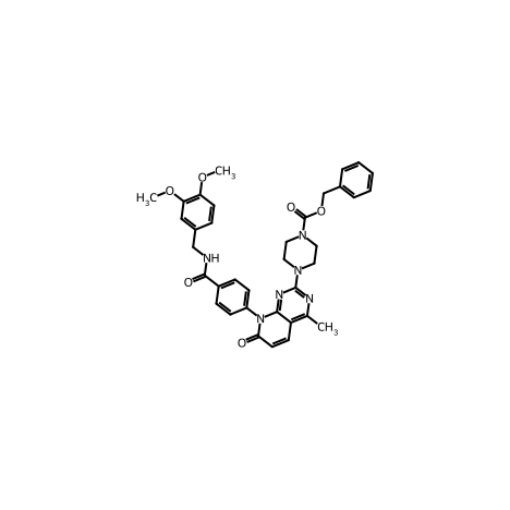 COc1ccc(CNC(=O)c2ccc(-n3c(=O)ccc4c(C)nc(N5CCN(C(=O)OCc6ccccc6)CC5)nc43)cc2)cc1OC